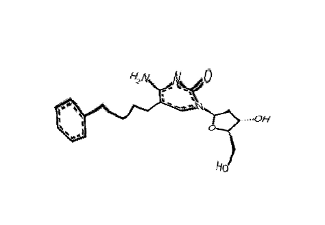 Nc1nc(=O)n([C@H]2C[C@H](O)[C@@H](CO)O2)cc1CCCCc1ccccc1